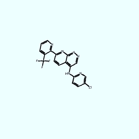 FC(F)(F)c1cccnc1-c1ccc2c(Nc3ccc(Cl)cn3)cnnc2n1